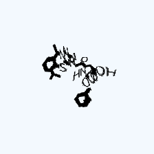 CC(C)c1cccc(C(C)C)c1Sc1nnnn1CC(=O)C(CC(=O)O)NC(=O)OCc1ccccc1